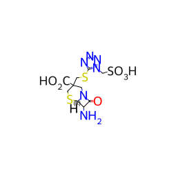 NC1C(=O)N2CC(CSc3nnnn3CS(=O)(=O)O)(C(=O)O)CS[C@H]12